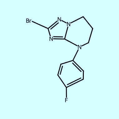 Fc1ccc(N2CCCn3nc(Br)nc32)cc1